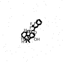 C[N+]1(C)CC[C@]23C4C5=C(O)C=CC4(NC(=O)C(=Cc4ccccc4)C(F)(F)F)O[C@H]2CCC[C@H]3[C@H]1C5